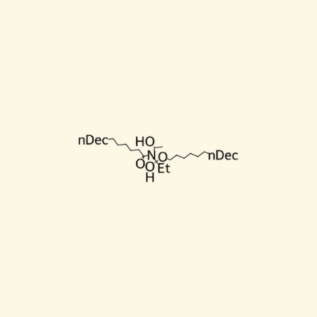 CCCCCCCCCCCCCCCCOC(O)(CC)N(C(=O)CCCCCCCCCCCCCCC)C(C)O